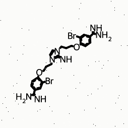 N=C(N)c1ccc(OCCCn2ccn(CCCOc3ccc(C(=N)N)cc3Br)c2=N)c(Br)c1